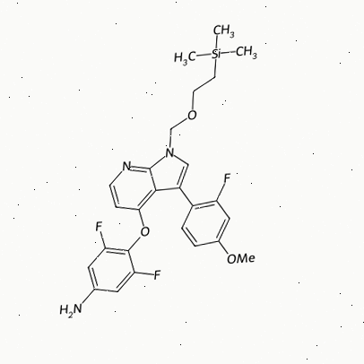 COc1ccc(-c2cn(COCC[Si](C)(C)C)c3nccc(Oc4c(F)cc(N)cc4F)c23)c(F)c1